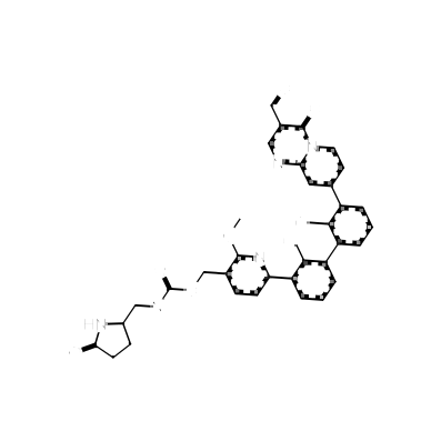 COc1nc(-c2cccc(-c3cccc(-c4ccn5c(=O)c(C=O)cnc5c4)c3Cl)c2Cl)ccc1COC(=O)NCC1CCC(=O)N1